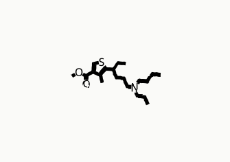 CCCCN(CCC)CCCC(CC)c1scc(C(=O)OC)c1C